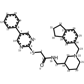 O=C(CSc1ncc(-c2ccccc2)cn1)NCC1CCCN(Cc2ccc3c(c2)CCC3)C1